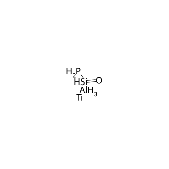 O=[SiH]P.[AlH3].[Ti]